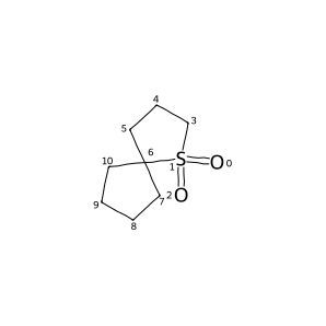 O=S1(=O)CCCC12CCCC2